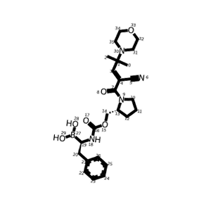 CC(C)(C=C(C#N)C(=O)N1CCC[C@@H]1COC(=O)N[C@@H](Cc1ccccc1)B(O)O)N1CCOCC1